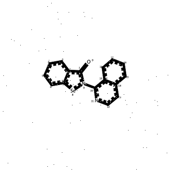 O=c1c2ccccc2[se]n1-c1nccc2ccccc12